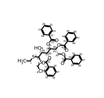 CCSC(SCC)[C@H](O)[C@@H](OC(=O)c1ccccc1)[C@H](OC(=O)c1ccccc1)[C@@H](COC(=O)c1ccccc1)OC(=O)c1ccccc1